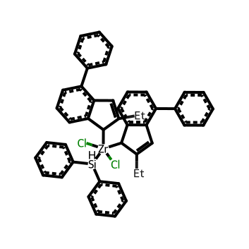 CCC1=Cc2c(-c3ccccc3)cccc2[CH]1[Zr]([Cl])([Cl])([CH]1C(CC)=Cc2c(-c3ccccc3)cccc21)[SiH](c1ccccc1)c1ccccc1